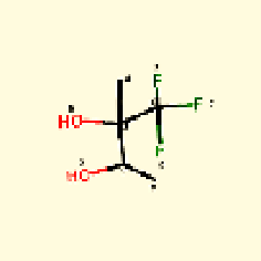 CC(O)C(C)(O)C(F)(F)F